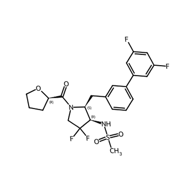 CS(=O)(=O)N[C@@H]1[C@H](Cc2cccc(-c3cc(F)cc(F)c3)c2)N(C(=O)[C@H]2CCCO2)CC1(F)F